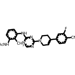 CC(=O)Nc1cccc(Nc2ncnc(N3CC=C(c4ccc(C#N)c(F)c4)CC3)n2)c1C